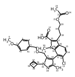 COc1ccc(COCc2c(-c3c(Cl)ccc4c(CCCOC(C)=O)c(C(=O)O)n(C)c34)c(C)nn2C23CC(C2)C3)cc1